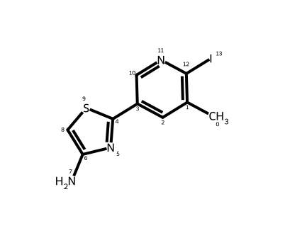 Cc1cc(-c2nc(N)cs2)cnc1I